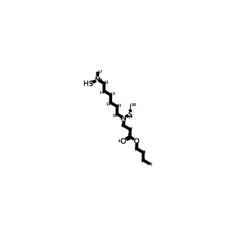 CCCCOC(=O)CCN(CCCCCCN(C)S)SI